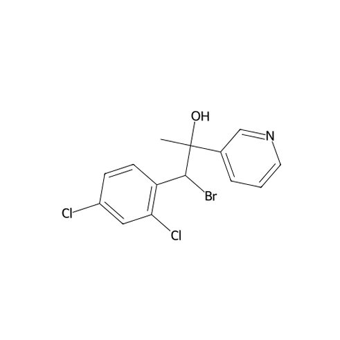 CC(O)(c1cccnc1)C(Br)c1ccc(Cl)cc1Cl